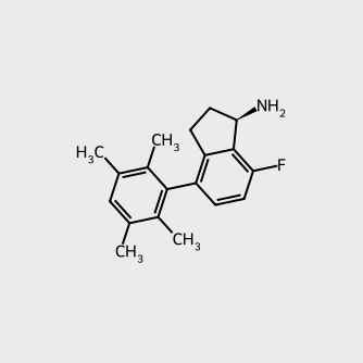 Cc1cc(C)c(C)c(-c2ccc(F)c3c2CC[C@H]3N)c1C